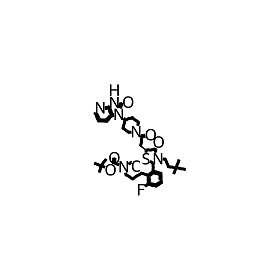 CC(C)(C)CCN1C(=O)[C@H](CC(=O)N2CCC(n3c(=O)[nH]c4ncccc43)CC2)SC1c1cccc(F)c1C1CCN(C(=O)OC(C)(C)C)CC1